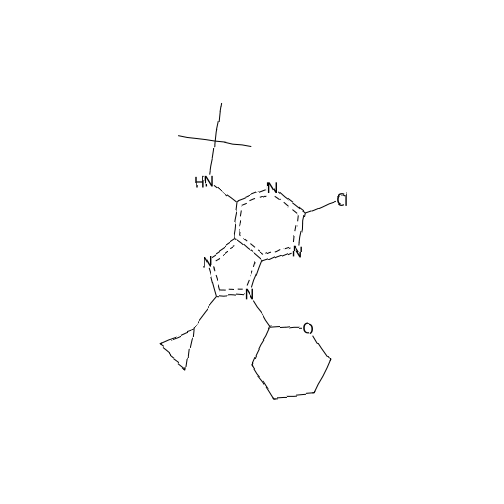 CC(C)(C)Nc1nc(Cl)nc2c1nc(C1CC1)n2C1CCCCO1